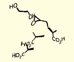 C=C(C)C(=O)O.C=C(C)C(=O)O.CC(=CCC1CO1)C(=O)O.OCCO